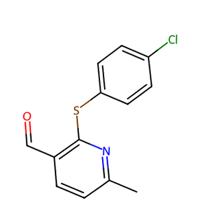 Cc1ccc(C=O)c(Sc2ccc(Cl)cc2)n1